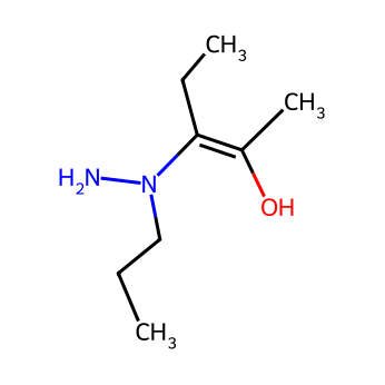 CCCN(N)C(CC)=C(C)O